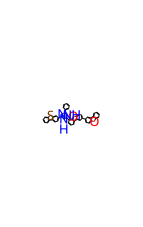 c1ccc(C2N=C(c3ccc4c(c3)sc3ccccc34)NC(c3cccc4c3oc3ccc(-c5ccc6oc7ccccc7c6c5)cc34)N2)cc1